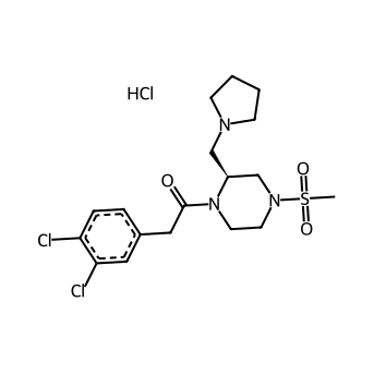 CS(=O)(=O)N1CCN(C(=O)Cc2ccc(Cl)c(Cl)c2)[C@@H](CN2CCCC2)C1.Cl